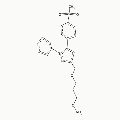 CS(=O)(=O)c1ccc(-c2cc(COCCCO[N+](=O)[O-])nn2-c2ccccc2)cc1